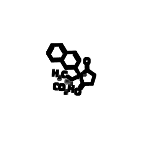 C[C@@H](C(=O)O)[N+]1(c2ccc3ccccc3c2)C(=O)CCC1=O